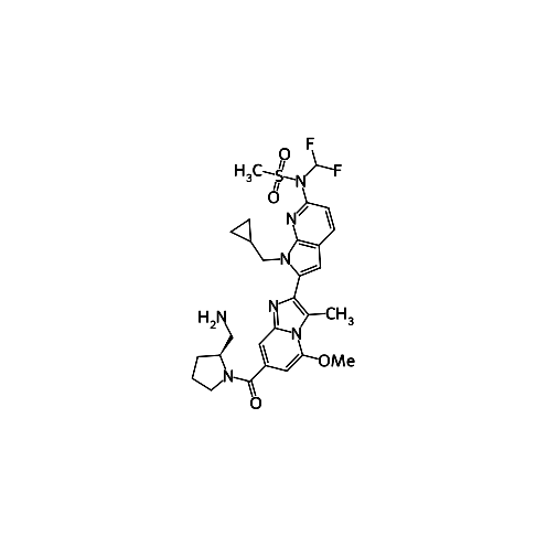 COc1cc(C(=O)N2CCC[C@H]2CN)cc2nc(-c3cc4ccc(N(C(F)F)S(C)(=O)=O)nc4n3CC3CC3)c(C)n12